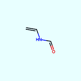 C=CNC=O